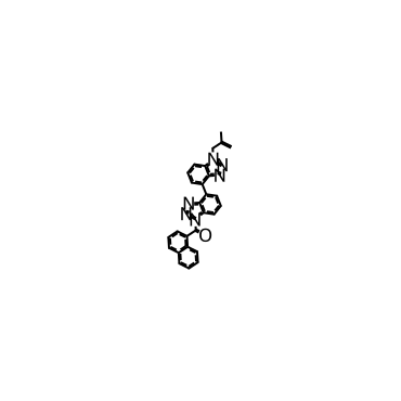 C=C(C)Cn1nnc2c(-c3cccc4c3nnn4C(=O)c3cccc4ccccc34)cccc21